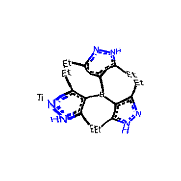 CCc1n[nH]c(CC)c1B(c1c(CC)n[nH]c1CC)c1c(CC)n[nH]c1CC.[Ti]